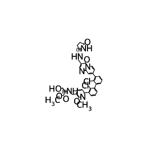 COC(=O)[C@@H](CO)NCc1ccc(-c2cccc(-c3cccc(-c4ccn5c(=O)c(CNC[C@@H]6CCC(=O)N6)cnc5c4)c3Cl)c2Cl)nc1OC